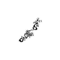 Cl.Cl.O=c1[nH]c2cc3cc(OCCCS(=O)(=O)N4CCN(c5nc6ccccc6o5)CC4)ccc3nc2[nH]1